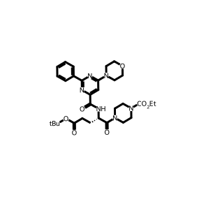 CCOC(=O)N1CCN(C(=O)[C@H](CCC(=O)OC(C)(C)C)NC(=O)c2cc(N3CCOCC3)nc(-c3ccccc3)n2)CC1